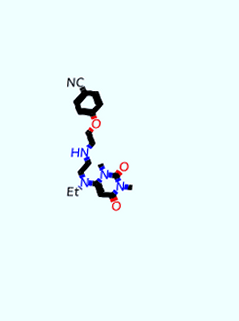 CCN(CCNCCOc1ccc(C#N)cc1)c1cc(=O)n(C)c(=O)n1C